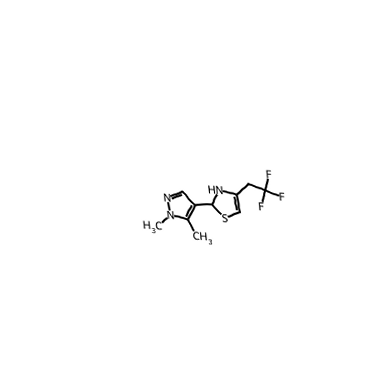 Cc1c(C2NC(CC(F)(F)F)=CS2)cnn1C